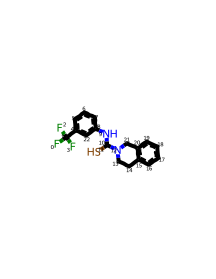 FC(F)(F)c1cccc(NC(S)N2CCc3ccccc3C2)c1